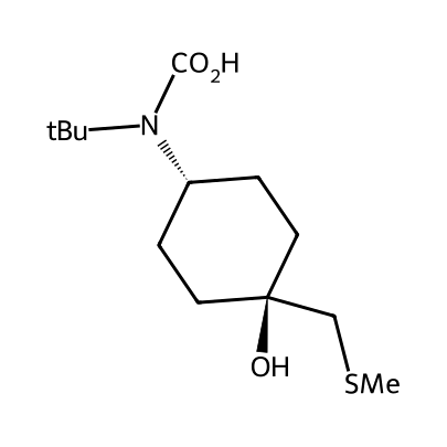 CSC[C@]1(O)CC[C@H](N(C(=O)O)C(C)(C)C)CC1